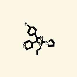 CCCn1c([SH]2C=CC=C2)nc(-c2ccc(F)cc2)c1-c1ccncc1